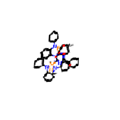 COP(c1cc([PH]2(C)N(c3ccccc3)C3=CC=CCC3(C)N2c2ccccc2)nc(-c2ccccc2)n1)N(c1ccccc1)c1ccccc1Nc1ccccc1